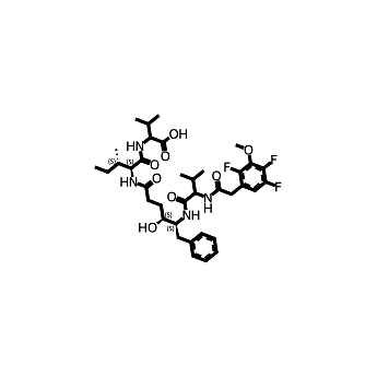 CC[C@H](C)[C@H](NC(=O)CC[C@H](O)[C@H](Cc1ccccc1)NC(=O)C(NC(=O)Cc1cc(F)c(F)c(OC)c1F)C(C)C)C(=O)NC(C(=O)O)C(C)C